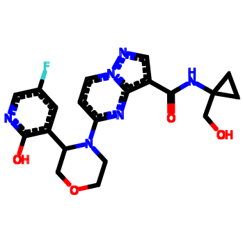 O=C(NC1(CO)CC1)c1cnn2ccc(N3CCOCC3c3cc(F)cnc3O)nc12